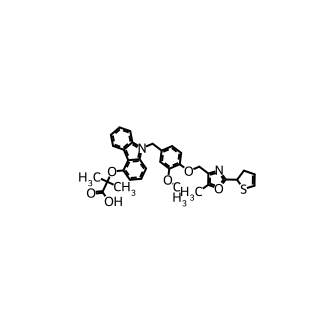 COc1cc(Cn2c3ccccc3c3c(OC(C)(C)C(=O)O)cccc32)ccc1OCc1nc(C2CC=CS2)oc1C